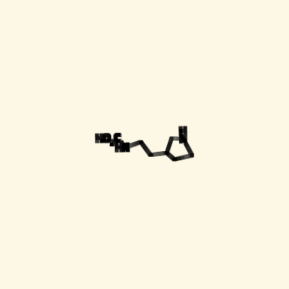 O=C(O)NCCC1CCNC1